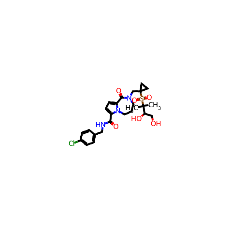 CC(C)(C(O)CO)S(=O)(=O)C1(CN2CCCn3c(C(=O)NCc4ccc(Cl)cc4)ccc3C2=O)CC1